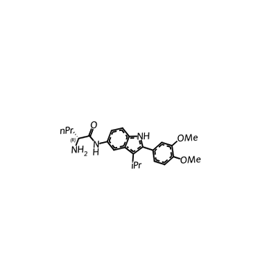 CCC[C@@H](N)C(=O)Nc1ccc2[nH]c(-c3ccc(OC)c(OC)c3)c(C(C)C)c2c1